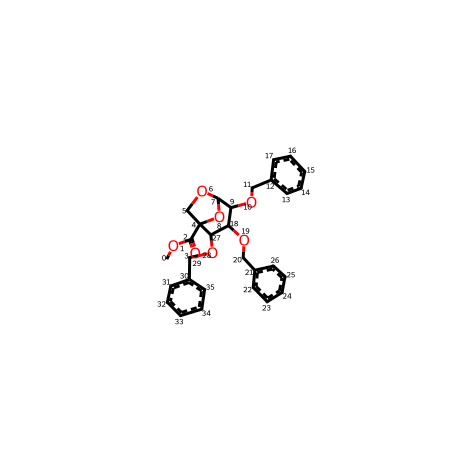 COC(=O)C12COC(O1)C(OCc1ccccc1)C(OCc1ccccc1)C2OCc1ccccc1